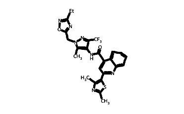 CCc1noc(Cn2nc(C(F)(F)F)c(NC(=O)c3cc(-c4sc(C)nc4C)nc4ccccc34)c2C)n1